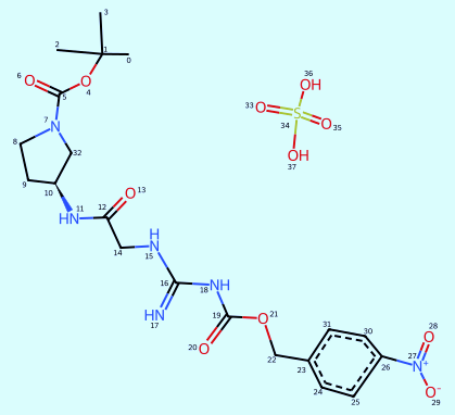 CC(C)(C)OC(=O)N1CC[C@H](NC(=O)CNC(=N)NC(=O)OCc2ccc([N+](=O)[O-])cc2)C1.O=S(=O)(O)O